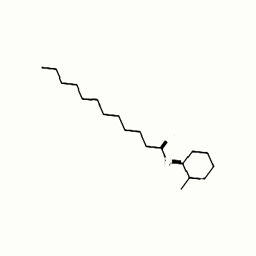 CCCCCCCCCCCC(=O)N=C1CCCCC1C